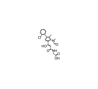 Cc1c(-c2ccccc2Cl)sc(/C(O)=C/C(=O)NCC(=O)O)c1N(C)C=O